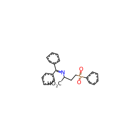 O=C(O)C(CCS(=O)(=O)c1ccccc1)N=C(c1ccccc1)c1ccccc1